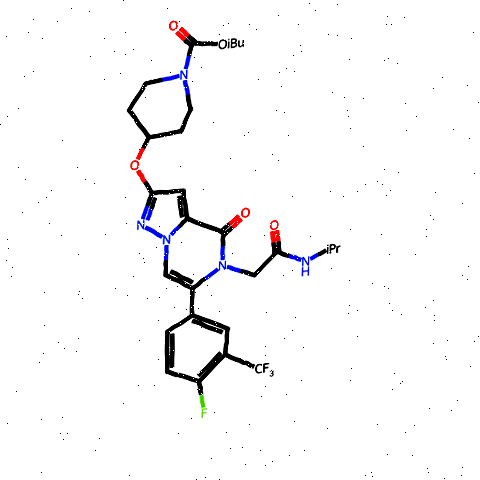 CC(C)COC(=O)N1CCC(Oc2cc3c(=O)n(CC(=O)NC(C)C)c(-c4ccc(F)c(C(F)(F)F)c4)cn3n2)CC1